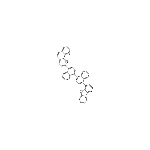 c1cnc2c(c1)ccc1ccc(-c3ccc(-c4ccc(-c5cccc6c5oc5ccccc56)c5ccccc45)c4ccccc34)nc12